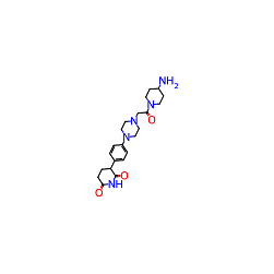 NC1CCN(C(=O)CN2CCN(c3ccc(C4CCC(=O)NC4=O)cc3)CC2)CC1